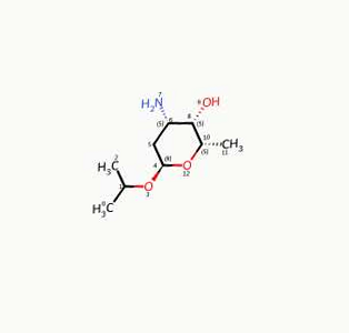 CC(C)O[C@H]1C[C@H](N)[C@H](O)[C@H](C)O1